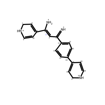 N=C(/C=C(\N)C1=CCNC=C1)c1ccc(C2=CCNC=C2)cc1